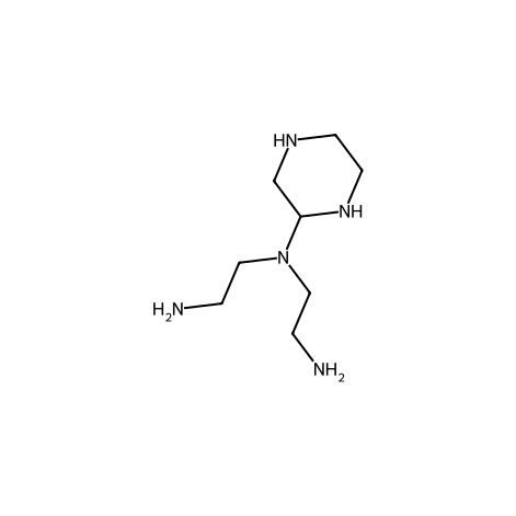 NCCN(CCN)C1CNCCN1